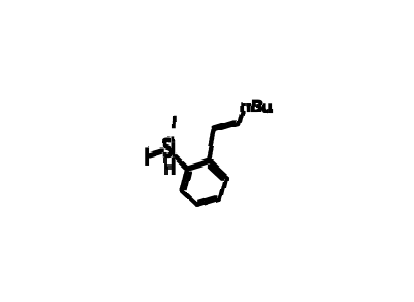 CCCCC=Cc1ccccc1[SiH](I)I